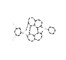 Fc1cc(F)cc(-n2c3ccc4ccc5c6c4c3c3c4c(ccc(c46)n5-c4ccccc4)ccc32)c1